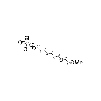 COCCOCCCCCCCOOC(=O)C(=O)Cl